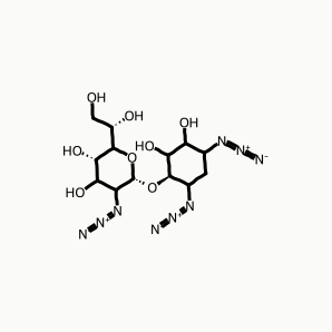 [N-]=[N+]=NC1CC(N=[N+]=[N-])[C@@H](O[C@H]2OC([C@@H](O)CO)[C@@H](O)C(O)C2N=[N+]=[N-])C(O)C1O